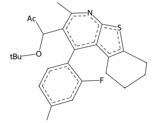 CC(=O)C(OC(C)(C)C)c1c(C)nc2sc3c(c2c1-c1ccc(C)cc1F)CCCC3